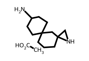 CC(=O)O.NC1CCC2(CCCC3(CN3)C2)CC1